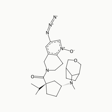 CC(C)[C@]1(C(=O)N2CCc3c(cc(N=[N+]=[N-])c[n+]3[O-])C2)CC[C@@H](N(C)C2C3CCC2COC3)C1